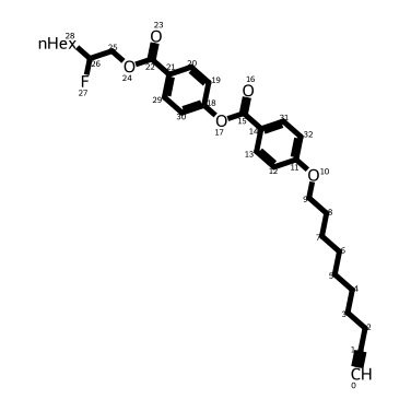 C#CCCCCCCCCOc1ccc(C(=O)Oc2ccc(C(=O)OCC(F)CCCCCC)cc2)cc1